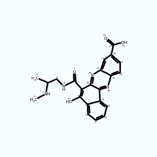 CNC(C)CNC(=O)c1c(O)c2ccccc2c2nc3ccc(C(=O)O)cc3nc12